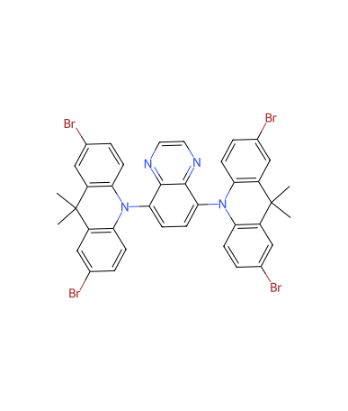 CC1(C)c2cc(Br)ccc2N(c2ccc(N3c4ccc(Br)cc4C(C)(C)c4cc(Br)ccc43)c3nccnc23)c2ccc(Br)cc21